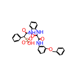 O=C(Nc1cccc(OCc2ccccc2)c1)C(=O)Nc1ccccc1NC(=O)C(c1ccccc1)S(=O)(=O)O